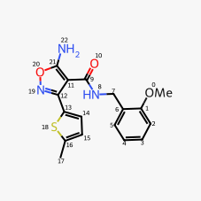 COc1ccccc1CNC(=O)c1c(-c2ccc(C)s2)noc1N